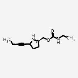 CCC#CC1CC[C@H](COC(=O)NCC)N1